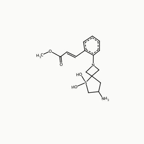 COC(=O)C=Cc1ccccc1N1CC2(CC(N)CS2(O)O)C1